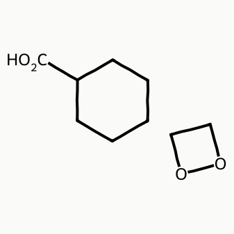 C1COO1.O=C(O)C1CCCCC1